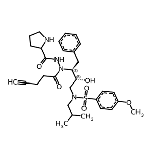 C#CCCC(=O)N(NC(=O)C1CCCN1)[C@@H](Cc1ccccc1)[C@H](O)CN(CC(C)C)S(=O)(=O)c1ccc(OC)cc1